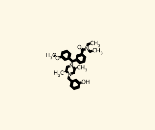 CCN(CC)C(=O)c1cccc([C@H](c2cccc(OC)c2)N2C[C@@H](C)N(Cc3cccc(O)c3)C[C@@H]2C)c1